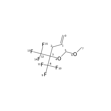 C=CCC(OCOC)(C(F)(F)F)C(F)(F)F